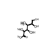 O=C(O)C(O)C(O)C(O)C(O)CO.[Ag]